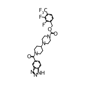 O=C(OCc1ccc(C(F)(F)F)c(F)c1F)N1CCN(C2CCN(C(=O)c3ccc4[nH]nnc4c3)CC2)CC1